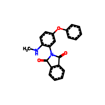 CNc1ccc(Oc2ccccc2)cc1N1C(=O)c2ccccc2C1=O